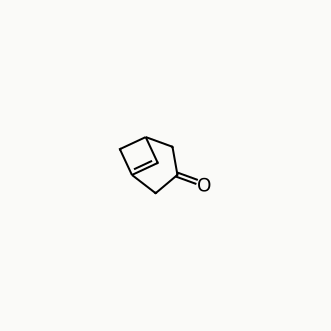 O=C1CC2=CC(C1)C2